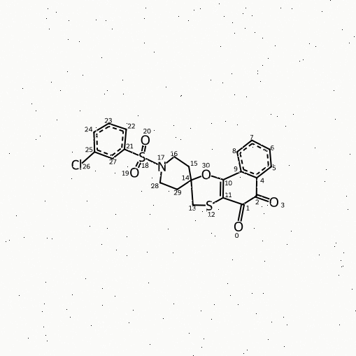 O=C1C(=O)c2ccccc2C2=C1SCC1(CCN(S(=O)(=O)c3cccc(Cl)c3)CC1)O2